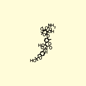 CO[C@@H]1[C@@H](OC(N)=O)[C@@H](O)[C@H](Oc2ccc3c(O)c(NC(=O)c4ccc5c(c4)CC(C(C)(C)O)O5)c(=O)oc3c2C)OC1(C)C